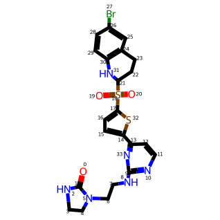 O=C1NCCN1CCNc1nccc(-c2ccc(S(=O)(=O)C3CCc4cc(Br)ccc4N3)s2)n1